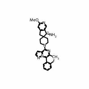 COc1cc2c(cn1)[C@@H](N)C1(CCN(c3nc(C)c(-c4ccccc4F)n4nccc34)CC1)C2